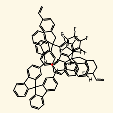 C=Cc1ccc(CC2(c3c(F)c(F)c(F)c(F)c3F)c3ccccc3-c3ccc(N(c4ccccc4)c4ccc5c(c4)C4(c6ccccc6-c6ccc(N(c7ccccc7)c7ccc8c(c7)C7(c9c(F)c(F)c(F)c(F)c9F)CC9=C[C@@H](C%10=CCCC7=C%108)C(C=C)CC9)cc64)c4ccccc4-5)cc32)cc1